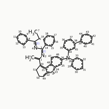 C=C(/N=C(\N=C(/CC)c1ccccc1)c1ccccc1)C1=c2c(sc3cc(N(c4ccccc4)c4cccc(-c5ccccc5)c4)ccc23)=CCC1